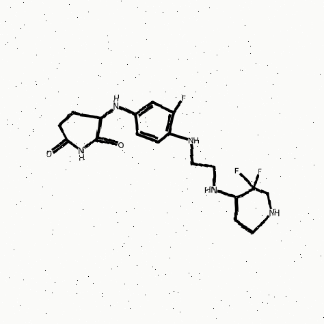 O=C1CCC(Nc2ccc(NCCNC3CCNCC3(F)F)c(F)c2)C(=O)N1